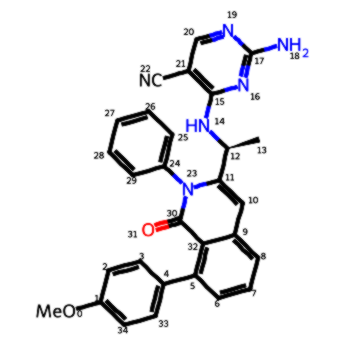 COc1ccc(-c2cccc3cc([C@H](C)Nc4nc(N)ncc4C#N)n(-c4ccccc4)c(=O)c23)cc1